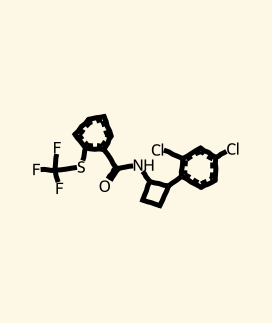 O=C(NC1CCC1c1ccc(Cl)cc1Cl)c1ccccc1SC(F)(F)F